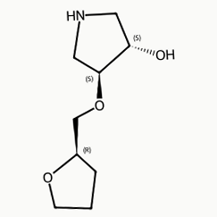 O[C@H]1CNC[C@@H]1OC[C@H]1CCCO1